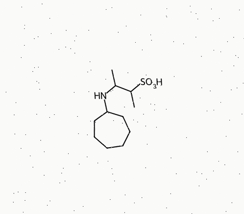 CC(NC1CCCCCC1)C(C)S(=O)(=O)O